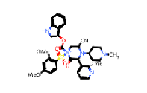 COc1ccc(S(=O)(=O)[N+]2(C(=O)OC3CNc4ccccc43)CC(C#N)N(C3CCN(C)CC3)C(c3cccnc3OC)C2=O)c(OC)c1